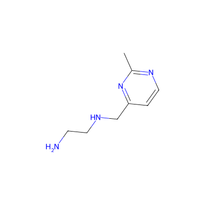 Cc1nccc(CNCCN)n1